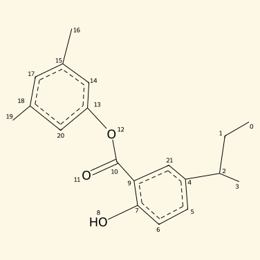 CCC(C)c1ccc(O)c(C(=O)Oc2cc(C)cc(C)c2)c1